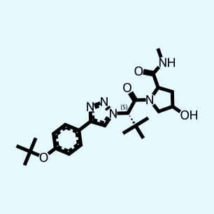 CNC(=O)C1CC(O)CN1C(=O)[C@@H](n1cc(-c2ccc(OC(C)(C)C)cc2)nn1)C(C)(C)C